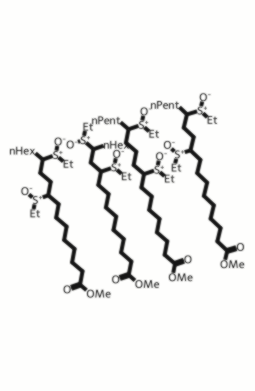 CCCCCC(CCC(CCCCCCCCC(=O)OC)[S+]([O-])CC)[S+]([O-])CC.CCCCCC(CCCC(CCCCCCCC(=O)OC)[S+]([O-])CC)[S+]([O-])CC.CCCCCCC(CC(CCCCCCCCC(=O)OC)[S+]([O-])CC)[S+]([O-])CC.CCCCCCC(CCC(CCCCCCCC(=O)OC)[S+]([O-])CC)[S+]([O-])CC